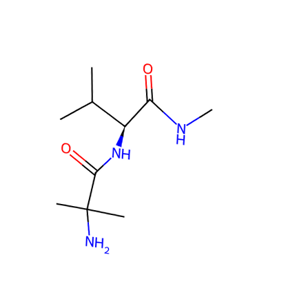 CNC(=O)[C@@H](NC(=O)C(C)(C)N)C(C)C